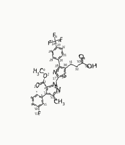 COC(=O)c1c(-c2cccc(F)c2)c(C)nn1-c1nc(-c2ccc(C(F)(F)F)cc2)c(CCC(=O)O)s1